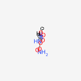 NC(=O)OCCCONC(=O)[C@@H]1CC[C@@H]2CN1C(=O)N2OCc1ccccc1